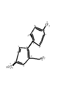 O=C(O)c1ccc(-c2ccc(C(F)(F)F)cc2)c([N+](=O)[O-])c1